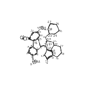 CC(C)(C)c1ccc2c(c1)[CH]([Zr+2]([C]1=CC=CC1)=[C](CC1CCCCC1)CC1CCCCC1)c1cc(C(C)(C)C)ccc1-2.[Cl-].[Cl-]